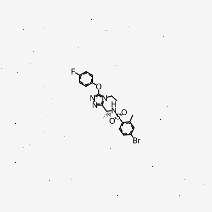 CCn1c(Oc2ccc(F)cc2)nnc1[C@@H](C)NS(=O)(=O)c1ccc(Br)cc1C